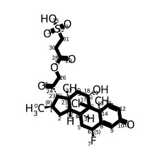 C[C@@H]1C[C@H]2[C@@H]3C[C@H](F)C4=CC(=O)C=C[C@]4(C)C3(Cl)[C@@H](O)C[C@]2(C)[C@H]1C(=O)COC(=O)CCS(=O)(=O)O